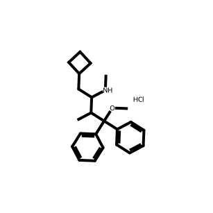 CNC(CC1CCC1)C(C)C(OC)(c1ccccc1)c1ccccc1.Cl